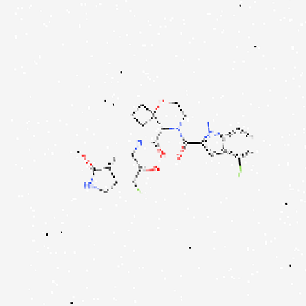 O=C1NCC[C@H]1C[C@H](NC(=O)[C@H]1N(C(=O)c2cc3c(F)cccc3[nH]2)CCOC12CCC2)C(=O)CF